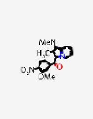 CNc1c(C)c(C(=O)c2ccc([N+](=O)[O-])c(OC)c2)n2ccccc12